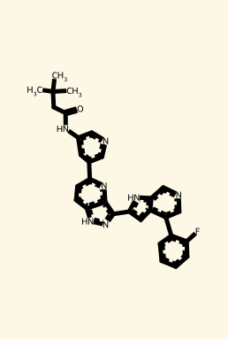 CC(C)(C)CC(=O)Nc1cncc(-c2ccc3[nH]nc(-c4cc5c(-c6ccccc6F)cncc5[nH]4)c3n2)c1